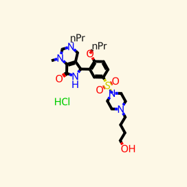 CCCOc1ccc(S(=O)(=O)N2CCN(CCCCO)CC2)cc1C1NC(=O)C2=C1CN(CCC)CN2C.Cl